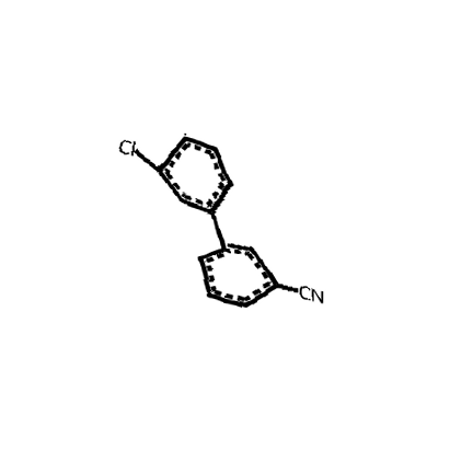 N#Cc1cccc(-c2cc[c]c(Cl)c2)c1